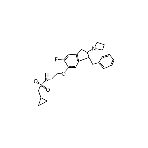 O=S(=O)(CC1CC1)NCCOc1cc2c(cc1F)CC(N1CCC1)C2Cc1ccccc1